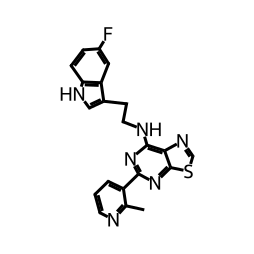 Cc1ncccc1-c1nc(NCCc2c[nH]c3ccc(F)cc23)c2ncsc2n1